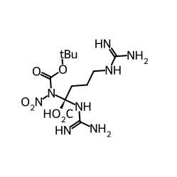 CC(C)(C)OC(=O)N([N+](=O)[O-])[C@](CCCNC(=N)N)(NC(=N)N)C(=O)O